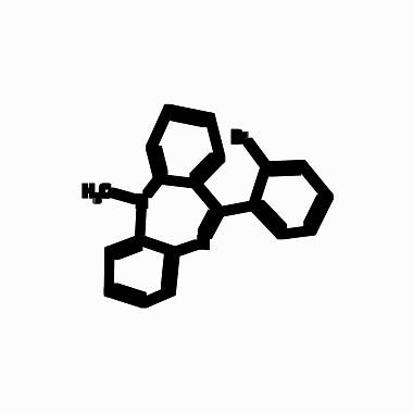 CN1c2ccccc2N=C(c2ccccc2Br)c2ccccc21